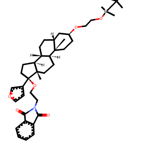 CC(C)(C)[Si](C)(C)OCCO[C@H]1CC[C@@]2(C)[C@H](CC[C@@H]3[C@@H]2CC[C@@]2(C)[C@H]3CC[C@@]2(OCCN2C(=O)c3ccccc3C2=O)c2ccoc2)C1